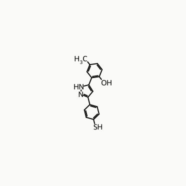 Cc1ccc(O)c(-c2cc(-c3ccc(S)cc3)n[nH]2)c1